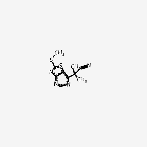 CSc1nc2ncnc(C(C)(C)C#N)c2s1